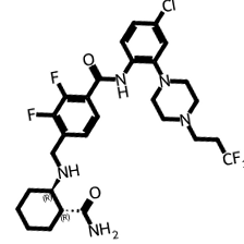 NC(=O)[C@@H]1CCCC[C@H]1NCc1ccc(C(=O)Nc2ccc(Cl)cc2N2CCN(CCC(F)(F)F)CC2)c(F)c1F